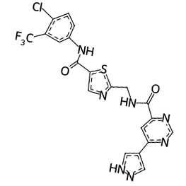 O=C(NCc1ncc(C(=O)Nc2ccc(Cl)c(C(F)(F)F)c2)s1)c1cc(-c2cn[nH]c2)ncn1